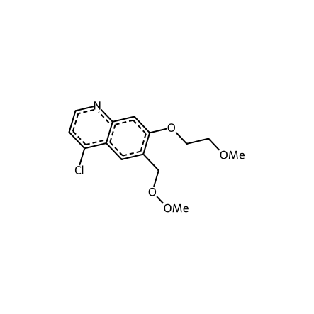 COCCOc1cc2nccc(Cl)c2cc1COOC